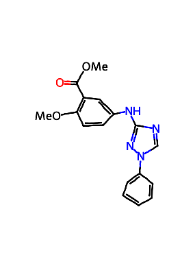 COC(=O)c1cc(Nc2ncn(-c3ccccc3)n2)ccc1OC